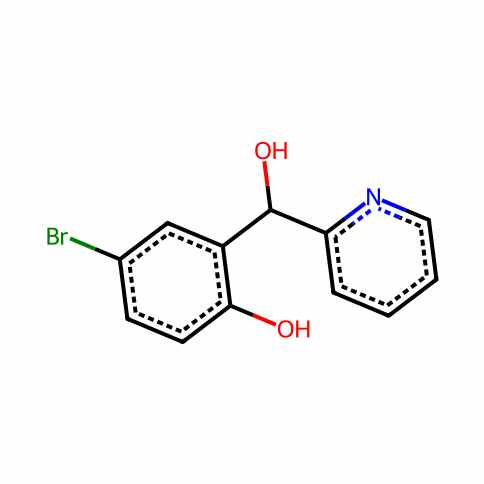 Oc1ccc(Br)cc1C(O)c1ccccn1